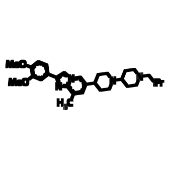 COc1ccc(-c2cn3cc(C4CCN(C5CCN(CC(C)C)CC5)CC4)cc(C)c3n2)cc1OC